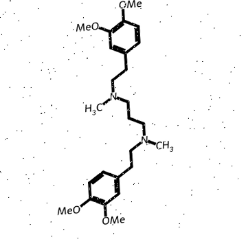 COc1ccc(CCN(C)CCCN(C)CCc2ccc(OC)c(OC)c2)cc1OC